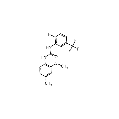 CSc1cc(C)ccc1NC(=O)Nc1cc(C(F)(F)F)ccc1F